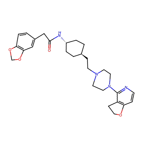 O=C(Cc1ccc2c(c1)OCO2)N[C@H]1CC[C@H](CCN2CCN(c3nccc4c3CCO4)CC2)CC1